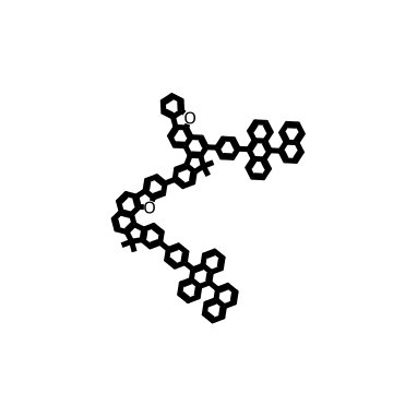 CC1(C)c2cc(-c3ccc(-c4c5ccccc5c(-c5cccc6ccccc56)c5ccccc45)cc3)ccc2-c2c1ccc1ccc3c4ccc(-c5ccc6c(c5)-c5c(c(-c7ccc(-c8c9ccccc9c(-c9cccc%10ccccc9%10)c9ccccc89)cc7)cc7c5ccc5c8ccccc8oc75)C6(C)C)cc4oc3c21